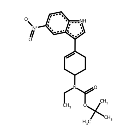 CCN(C(=O)OC(C)(C)C)C1CC=C(c2c[nH]c3ccc([N+](=O)[O-])cc23)CC1